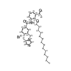 CCCCCCCCCCCCCCOc1c(NC(=O)c2cccc(C[n+]3cscc3C)c2)cccc1C(C)=O.[Br-]